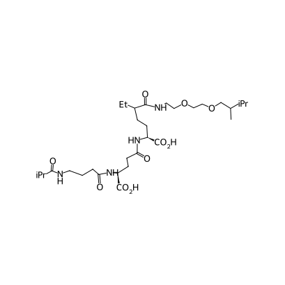 CCC(CC[C@H](NC(=O)CC[C@H](NC(=O)CCCNC(=O)C(C)C)C(=O)O)C(=O)O)C(=O)NCCOCCOCC(C)C(C)C